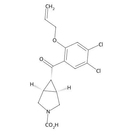 C=CCOc1cc(Cl)c(Cl)cc1C(=O)[C@H]1[C@@H]2CN(C(=O)O)C[C@@H]21